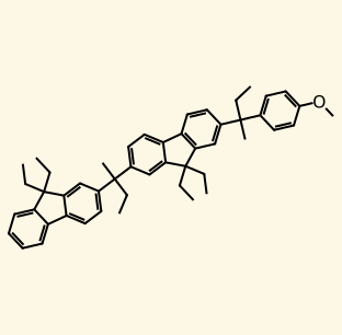 CCC(C)(c1ccc(OC)cc1)c1ccc2c(c1)C(CC)(CC)c1cc(C(C)(CC)c3ccc4c(c3)C(CC)(CC)c3ccccc3-4)ccc1-2